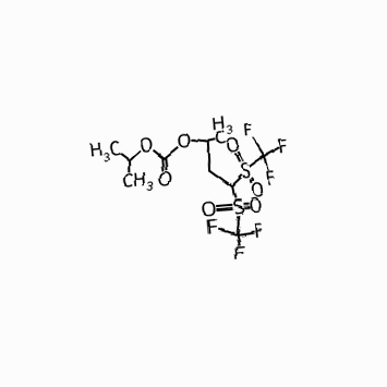 CC(C)OC(=O)OC(C)CC(S(=O)(=O)C(F)(F)F)S(=O)(=O)C(F)(F)F